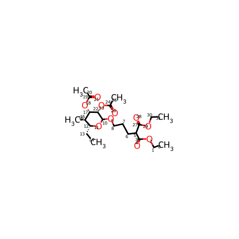 CCOC(=O)C(CCCOC1O[C@H](CC)[C@@H](C)[C@H](OC(C)=O)[C@@H]1OC(C)=O)C(=O)OCC